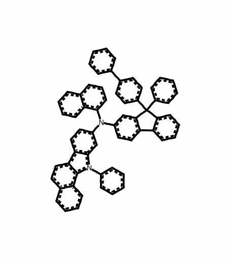 c1ccc(-c2ccc(C3(c4ccccc4)c4ccccc4-c4ccc(N(c5ccc6c7ccc8ccccc8c7n(-c7ccccc7)c6c5)c5cccc6ccccc56)cc43)cc2)cc1